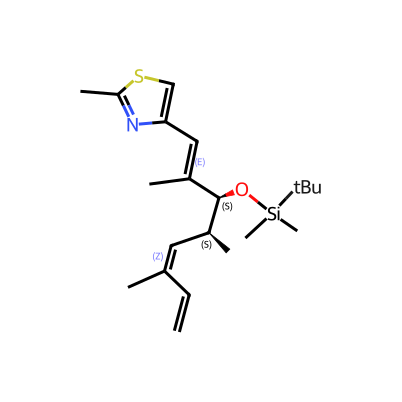 C=C/C(C)=C\[C@H](C)[C@H](O[Si](C)(C)C(C)(C)C)/C(C)=C/c1csc(C)n1